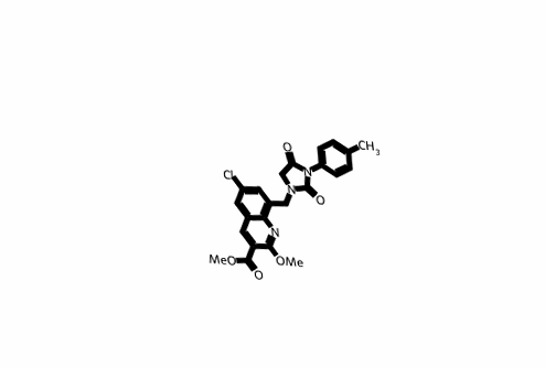 COC(=O)c1cc2cc(Cl)cc(CN3CC(=O)N(c4ccc(C)cc4)C3=O)c2nc1OC